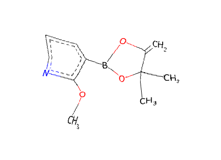 C=C1OB(c2cccnc2OC)OC1(C)C